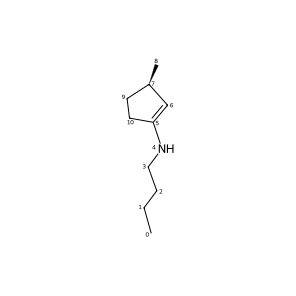 CCCCNC1=C[C@H](C)CC1